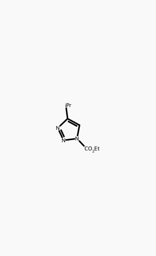 CCOC(=O)n1cc(C(C)C)nn1